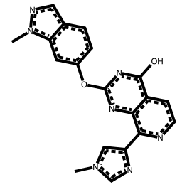 Cn1cnc(-c2nccc3c(O)nc(Oc4ccc5cnn(C)c5c4)nc23)c1